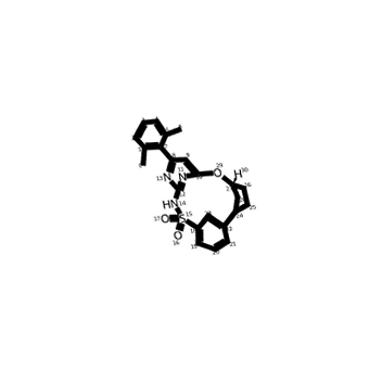 Cc1cccc(C)c1-c1cc2nc(n1)NS(=O)(=O)c1cccc(c1)C1CC[C@@H](C1)O2